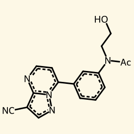 CC(=O)N(CCO)c1cccc(-c2ccnc3c(C#N)cnn23)c1